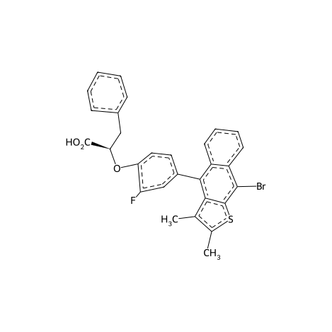 Cc1sc2c(Br)c3ccccc3c(-c3ccc(O[C@H](Cc4ccccc4)C(=O)O)c(F)c3)c2c1C